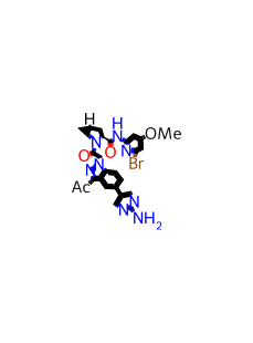 COc1cc(Br)nc(NC(=O)[C@@H]2C[C@H]3CC3N2C(=O)Cn2nc(C(C)=O)c3cc(-c4cnc(N)nc4)ccc32)c1